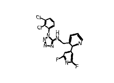 Fc1cc(-c2ncccc2CNc2nnnn2-c2cccc(Cl)c2Cl)cc(F)n1